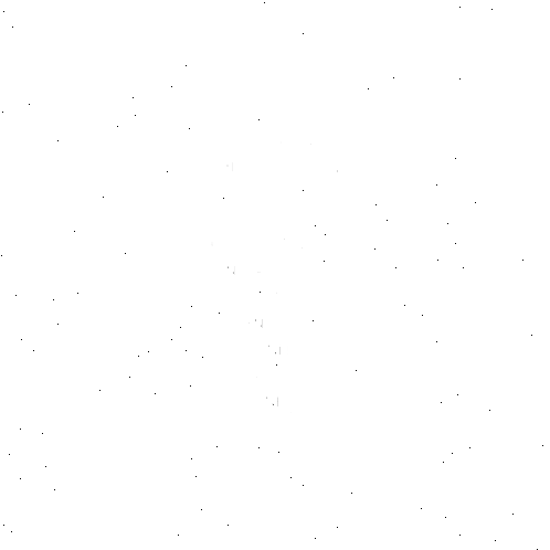 NC(=O)NN=Cc1nccc(-c2c(F)cccc2F)c1O